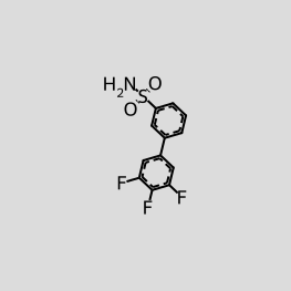 NS(=O)(=O)c1cccc(-c2cc(F)c(F)c(F)c2)c1